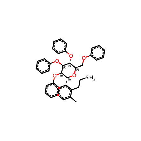 Cc1cccc([C@H]2O[C@H](COc3ccccc3)[C@@H](Oc3ccccc3)[C@H](Oc3ccccc3)[C@@H]2Oc2ccccc2)c1CC[SiH3]